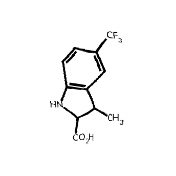 CC1c2cc(C(F)(F)F)ccc2NC1C(=O)O